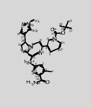 Cc1cc(NC2=NC(C3=CCCN(C(=O)OC(C)(C)C)C3)=CN3C2=NCC3c2cnn(C)c2)sc1C(N)=O